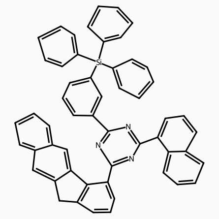 c1ccc([Si](c2ccccc2)(c2ccccc2)c2cccc(-c3nc(-c4cccc5c4-c4cc6ccccc6cc4C5)nc(-c4cccc5ccccc45)n3)c2)cc1